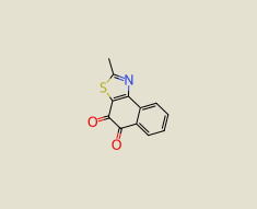 Cc1nc2c(s1)C(=O)C(=O)c1ccccc1-2